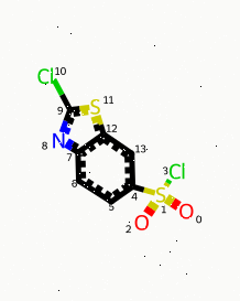 O=S(=O)(Cl)c1ccc2nc(Cl)sc2c1